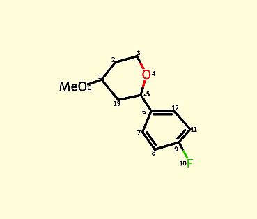 COC1CCO[C](c2ccc(F)cc2)C1